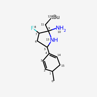 CC1C=CC(C2CC(F)C(N)(CC(C)(C)C)N2)=CC1